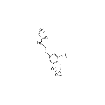 C=CC(=O)NCCc1cc(C)c(CC2CO2)c(C)c1